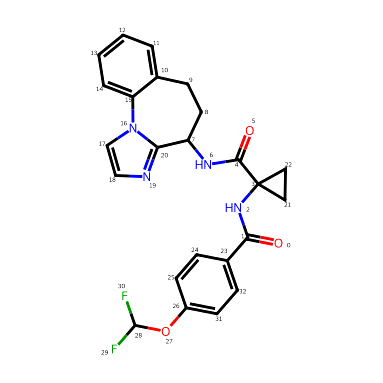 O=C(NC1(C(=O)NC2CCc3ccccc3-n3ccnc32)CC1)c1ccc(OC(F)F)cc1